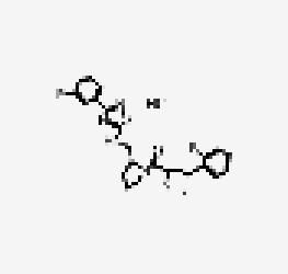 Cl.NC(CCc1ccccc1F)C(=O)N1CCC[C@H]1CNc1nc(-c2cccc(F)c2)no1